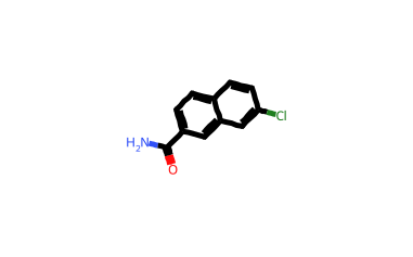 NC(=O)c1ccc2ccc(Cl)cc2c1